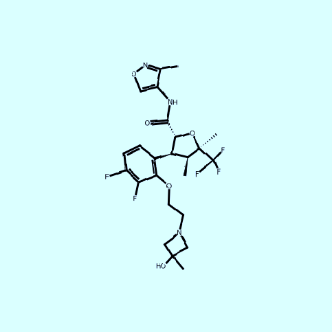 Cc1nocc1NC(=O)[C@@H]1O[C@@](C)(C(F)(F)F)[C@@H](C)[C@H]1c1ccc(F)c(F)c1OCCN1CC(C)(O)C1